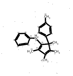 CC1=C(C)C(C)(c2ccc(C)cc2)C([SiH2]c2ccccc2)=C1C